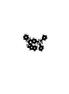 c1ccc(-c2nc(-c3ccccc3)nc(-c3ccc(-c4nc5ccccc5nc4-c4cc5c(cn4)Cc4ccccc4-5)cc3)n2)cc1